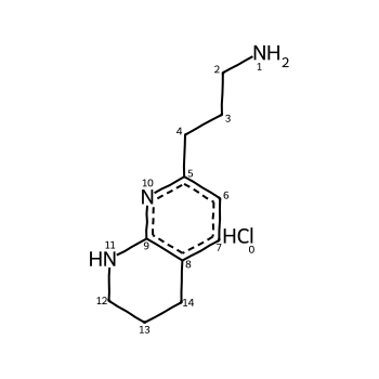 Cl.NCCCc1ccc2c(n1)NCCC2